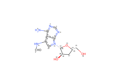 Nc1ncnc2c1c(NC=O)cn2[C@@H]1O[C@H](CO)C[C@H]1O